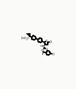 CCOC(=O)C1(c2ccc(-c3ccc(-c4sc(Cl)cc4NC(=O)O[C@H](C)c4ccc(Cl)cc4)cc3)cc2)CC1